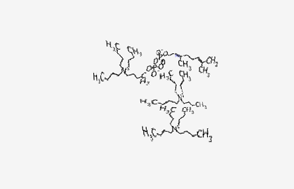 CC(C)=CCC/C(C)=C/COP(=O)([O-])OP(=O)([O-])[O-].CCCC[N+](CCCC)(CCCC)CCCC.CCCC[N+](CCCC)(CCCC)CCCC.CCCC[N+](CCCC)(CCCC)CCCC